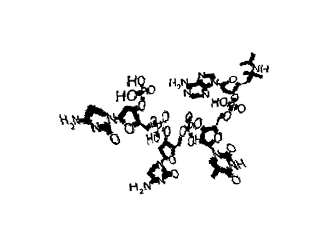 Cc1cn([C@H]2CC(OP(=O)(O)OC[C@H]3O[C@@H](n4ccc(N)nc4=O)CC3OP(=O)(O)OC[C@H]3O[C@@H](n4ccc(N)nc4=O)CC3OP(=O)(O)O)[C@@H](COP(=O)(O)OC3C[C@H](n4cnc5c(N)ncnc54)O[C@@H]3CC(C)(C)NC(C)C)O2)c(=O)[nH]c1=O